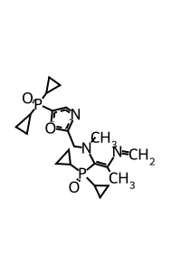 C=N/C(C)=C(\N(C)Cc1ncc(P(=O)(C2CC2)C2CC2)o1)P(=O)(C1CC1)C1CC1